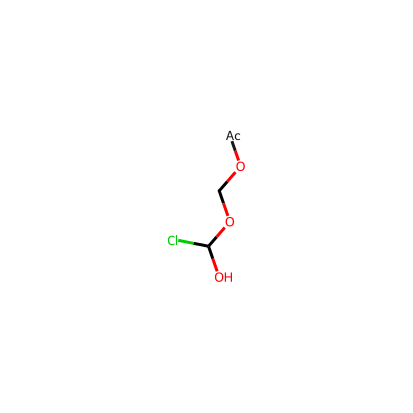 CC(=O)OCOC(O)Cl